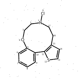 ClN1CCOc2ccccc2-c2sccc2CC1